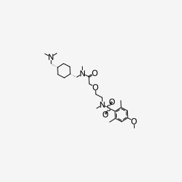 COc1cc(C)c(S(=O)(=O)N(C)CCOCC(=O)N(C)C[C@H]2CC[C@@H](CN(C)C)CC2)c(C)c1